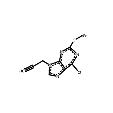 C#CCn1cnc2c(Cl)nc(SCCC)nc21